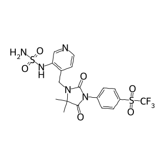 CC1(C)C(=O)N(c2ccc(S(=O)(=O)C(F)(F)F)cc2)C(=O)N1Cc1ccncc1NS(N)(=O)=O